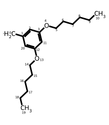 [CH2]c1cc(OCCCCCC)cc(OCCCCCC)c1